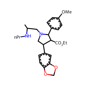 CCCNC(C)CN1CC(c2ccc3c(c2)OCO3)C(C(=O)OCC)C1c1ccc(OC)cc1